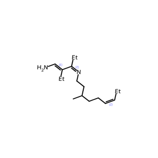 CC/C=C\CCC(C)CC/N=C(CC)\C(=C\N)CC